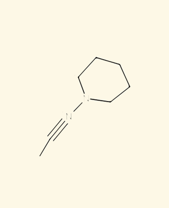 CC#[N+]N1CCCCC1